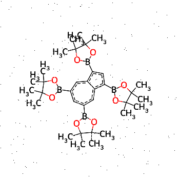 CC1(C)OB(c2cc(B3OC(C)(C)C(C)(C)O3)cc3c(B4OC(C)(C)C(C)(C)O4)cc(B4OC(C)(C)C(C)(C)O4)c-3c2)OC1(C)C